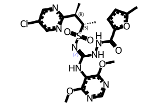 COc1ncnc(OC)c1N/C(=N/S(=O)(=O)[C@@H](C)[C@H](C)c1ncc(Cl)cn1)NNC(=O)c1ccc(C)o1